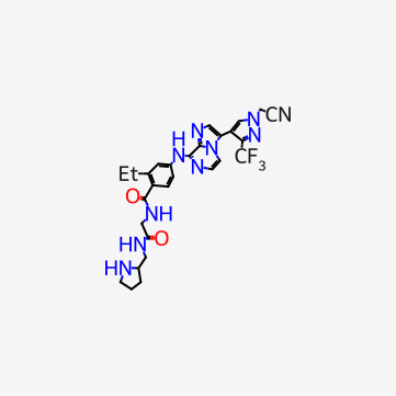 CCc1cc(Nc2nccn3c(-c4cn(CC#N)nc4C(F)(F)F)cnc23)ccc1C(=O)NCC(=O)NCC1CCCN1